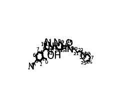 Cc1cc(C#N)ccc1-c1cnn(-c2ccc(C(=O)NCCCN3CCCCC3)cn2)c1O